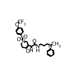 CN(CCCNC(=O)c1noc2c1CN(S(=O)(=O)c1ccc(OC(F)(F)F)cc1)CC2)c1ccccc1